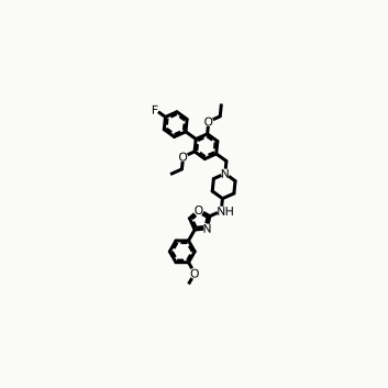 CCOc1cc(CN2CCC(Nc3nc(-c4cccc(OC)c4)co3)CC2)cc(OCC)c1-c1ccc(F)cc1